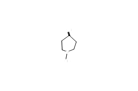 C=C1CCN(C=O)CC1